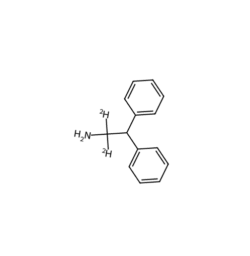 [2H]C([2H])(N)C(c1ccccc1)c1ccccc1